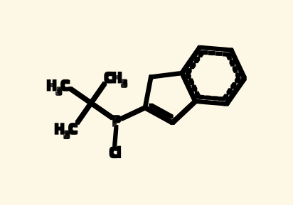 CC(C)(C)P(Cl)C1=Cc2ccccc2C1